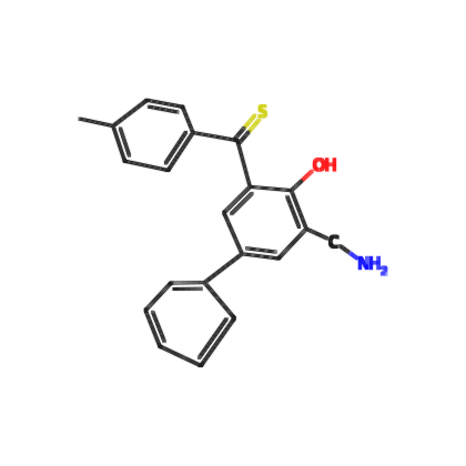 Cc1ccc(C(=S)c2cc(-c3ccccc3)cc(CN)c2O)cc1